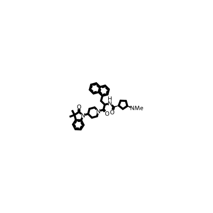 CN[C@@H]1CC[C@H](C(=O)NC(Cc2cccc3ccccc23)C(=O)N2CCC(N3C(=O)C(C)(C)c4ccccc43)CC2)C1